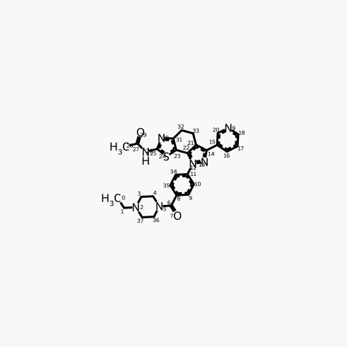 CCN1CCN(C(=O)c2ccc(-n3nc(-c4cccnc4)c4c3-c3sc(NC(C)=O)nc3CC4)cc2)CC1